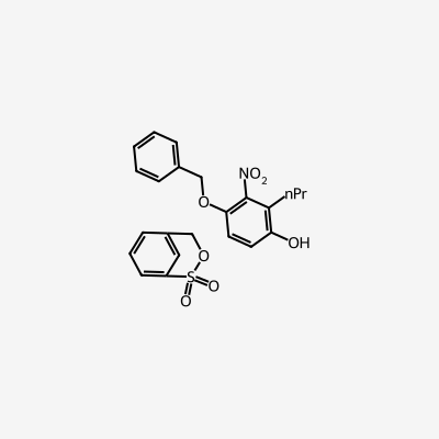 CCCc1c(O)ccc(OCc2ccccc2)c1[N+](=O)[O-].O=S1(=O)OCc2cccc1c2